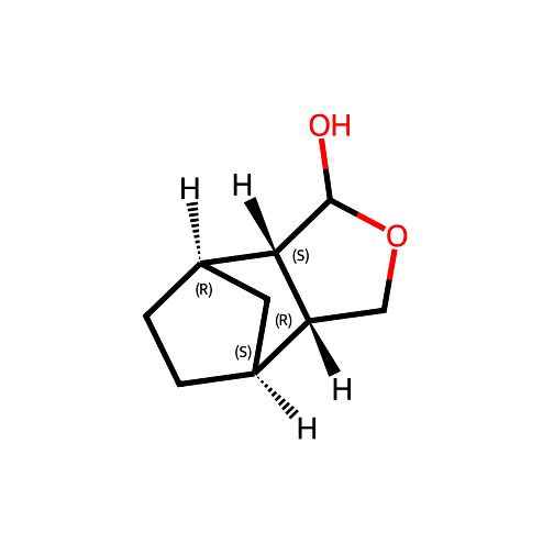 OC1OC[C@@H]2[C@H]3CC[C@H](C3)[C@H]12